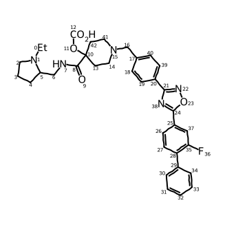 CCN1CCCC1CNC(=O)C1(OC(=O)O)CCN(Cc2ccc(-c3noc(-c4ccc(-c5ccccc5)c(F)c4)n3)cc2)CC1